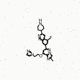 Cc1cn2nc(-c3cc(F)c4cc(C5CCNCC5)nnc4c3)cc(OCCn3ccnc3)c2n1